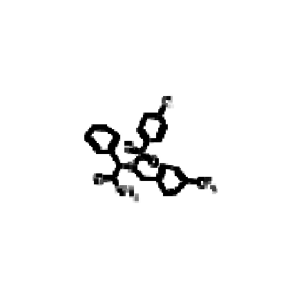 NC(=O)[C@@H](c1ccccc1)N(Cc1ccc(C(F)(F)F)cc1)S(=O)(=O)c1ccc(Cl)cc1